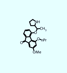 CCCOc1cc(OC)cc2c1-c1c(OC(C)C3CCCN3)cccc1C2=O